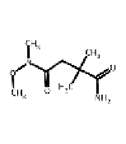 CON(C)C(=O)[CH]C(C)(C)C(N)=O